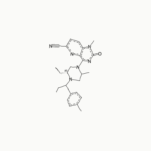 CCC(c1ccc(C)cc1)N1CC(C)N(c2nc(=O)n(C)c3ccc(C#N)nc23)C[C@H]1CC